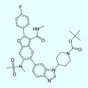 CNC(=O)c1c(-c2ccc(F)cc2)oc2cc(N(C)S(C)(=O)=O)c(-c3ccc4ncn(C5CCN(C(=O)OC(C)(C)C)CC5)c4c3)cc12